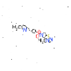 Cc1ccc(CCc2ccc(OC(=O)N3CCC(Sc4nccn4C)CC3)cc2)nc1